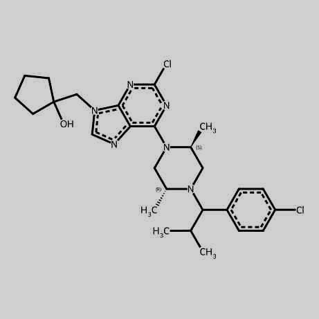 CC(C)C(c1ccc(Cl)cc1)N1C[C@H](C)N(c2nc(Cl)nc3c2ncn3CC2(O)CCCC2)C[C@H]1C